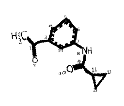 CC(=O)c1cccc(NC(=O)C2CC2)c1